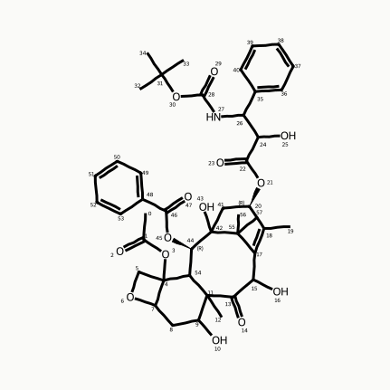 CC(=O)OC12COC1CC(O)C1(C)C(=O)C(O)C3=C(C)[C@H](OC(=O)C(O)C(NC(=O)OC(C)(C)C)c4ccccc4)CC(O)([C@H](OC(=O)c4ccccc4)C21)C3(C)C